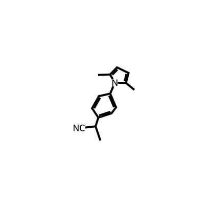 Cc1ccc(C)n1-c1ccc(C(C)C#N)cc1